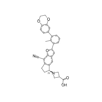 Cc1c(-c2ccc3c(c2)OCCO3)cccc1-c1cc2cc3c(c(C#N)c2o1)CC[C@@H]3N1CC(C(=O)O)C1